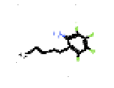 CCCCCc1c(N)c(F)c(F)c(F)c1F